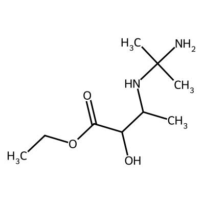 CCOC(=O)C(O)C(C)NC(C)(C)N